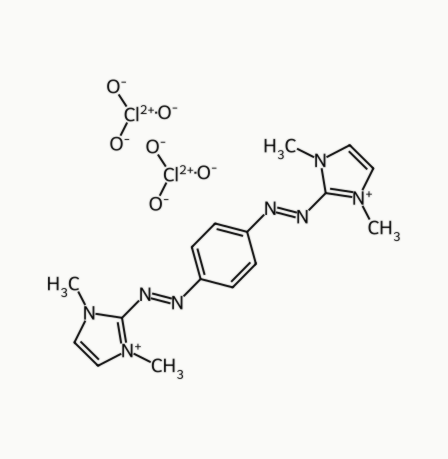 Cn1cc[n+](C)c1N=Nc1ccc(N=Nc2n(C)cc[n+]2C)cc1.[O-][Cl+2]([O-])[O-].[O-][Cl+2]([O-])[O-]